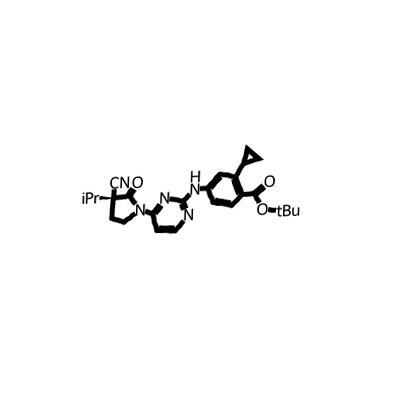 CC(C)[C@]1(C#N)CCN(c2ccnc(Nc3ccc(C(=O)OC(C)(C)C)c(C4CC4)c3)n2)C1=O